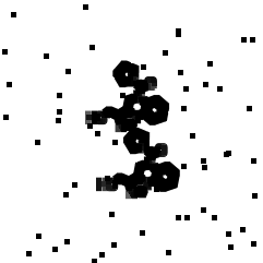 O=C(N1CCCC1)N1Cc2c(CO)ncn2-c2ccccc21.O=C(N1CCCC1)N1Cc2c(CO)ncn2-c2ccccc21